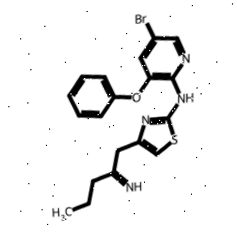 CCCC(=N)Cc1csc(Nc2ncc(Br)cc2Oc2ccccc2)n1